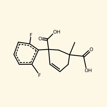 CC1(C(=O)O)CC=CC(C(=O)O)(c2c(F)cccc2F)C1